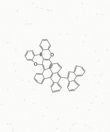 c1ccc2c(c1)Oc1ccc(-c3ccccc3-c3c4ccccc4c(-c4cc5ccccc5c5ccccc45)c4ccccc34)c3c1B2c1ccccc1O3